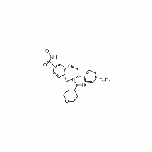 Cc1ccc([C@H]2COc3cc(C(=O)NO)ccc3CN2C(=O)C2CCOCC2)cc1